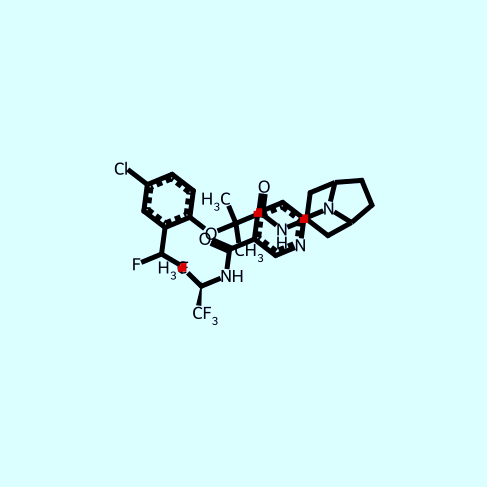 C[C@@H](NC(=O)c1ccc(N2C3CCC2CC(NC(=O)C(C)(C)Oc2ccc(Cl)cc2C(F)F)C3)nc1)C(F)(F)F